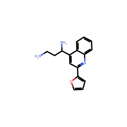 NCCC(N)c1cc(-c2ccco2)nc2ccccc12